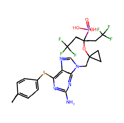 Cc1ccc(Sc2nc(N)nc3c2ncn3CC2(OC(CC(F)(F)F)(CC(F)(F)F)P(=O)(O)O)CC2)cc1